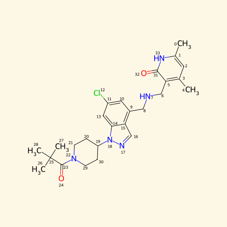 Cc1cc(C)c(CNCc2cc(Cl)cc3c2cnn3C2CCN(C(=O)C(C)(C)C)CC2)c(=O)[nH]1